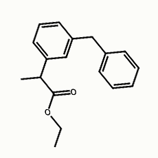 CCOC(=O)C(C)c1cccc(Cc2ccccc2)c1